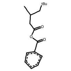 CC(CC(=O)OC(=O)c1ccccc1)CC(C)(C)C